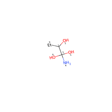 CCC(O)C(N)(O)O